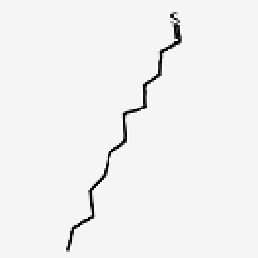 CCCCCCCCCCCCC=S